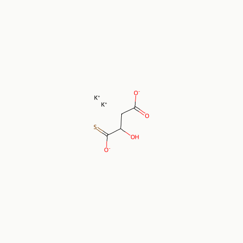 O=C([O-])CC(O)C([O-])=S.[K+].[K+]